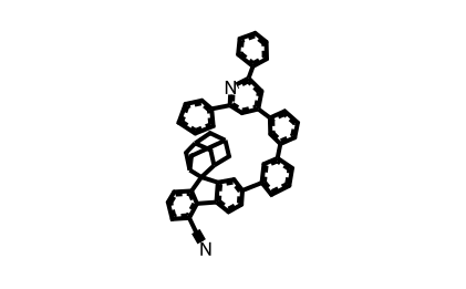 N#Cc1cccc2c1-c1ccc(-c3cccc(-c4cccc(-c5cc(-c6ccccc6)nc(-c6ccccc6)c5)c4)c3)cc1C21C2CC3CC(C2)CC1C3